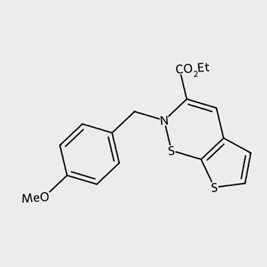 CCOC(=O)C1=Cc2ccsc2SN1Cc1ccc(OC)cc1